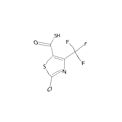 O=C(S)c1sc(Cl)nc1C(F)(F)F